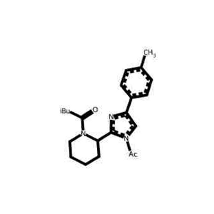 CCC(C)C(=O)N1CCCCC1c1nc(-c2ccc(C)cc2)cn1C(C)=O